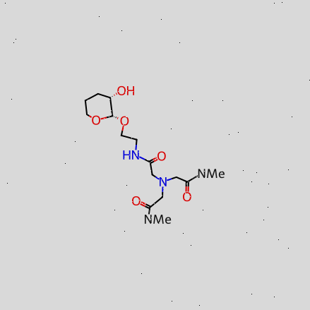 CNC(=O)CN(CC(=O)NC)CC(=O)NCCO[C@@H]1OCCC[C@@H]1O